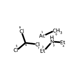 CC(C)=O.CCNCC.ClC(Cl)Cl